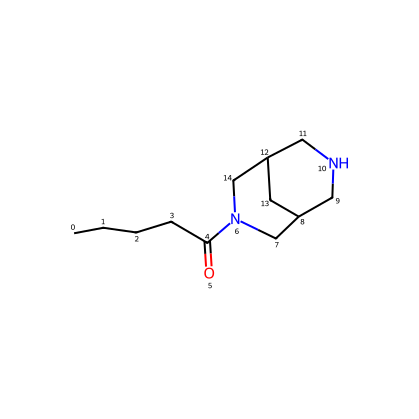 CCCCC(=O)N1CC2CNCC(C2)C1